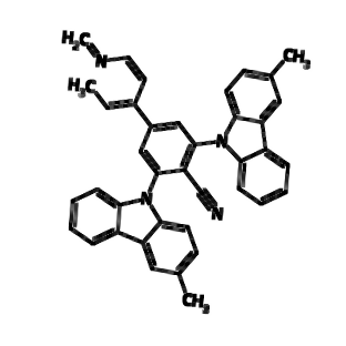 C=N/C=C\C(=C/C)c1cc(-n2c3ccccc3c3cc(C)ccc32)c(C#N)c(-n2c3ccccc3c3cc(C)ccc32)c1